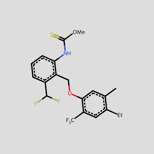 CCc1cc(C(F)(F)F)c(OCc2c(NC(=S)OC)cccc2C(F)F)cc1C